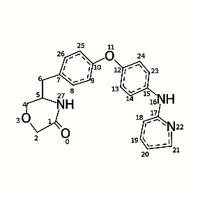 O=C1COCC(Cc2ccc(Oc3ccc(Nc4ccccn4)cc3)cc2)N1